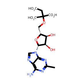 Cc1nc(N)c2ncn([C@@H]3O[C@H](COC(CC(=O)O)(C(=O)O)C(=O)O)[C@@H](O)[C@H]3O)c2n1